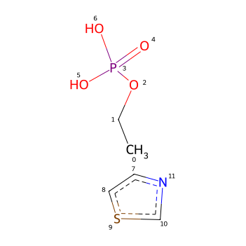 CCOP(=O)(O)O.c1cscn1